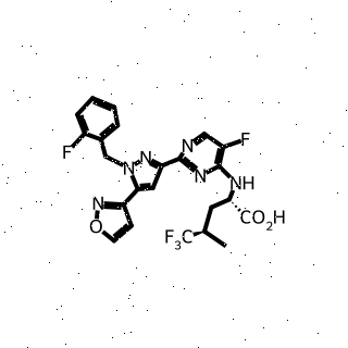 C[C@H](C[C@H](Nc1nc(-c2cc(-c3ccon3)n(Cc3ccccc3F)n2)ncc1F)C(=O)O)C(F)(F)F